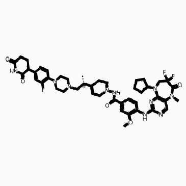 COc1cc(C(=O)NN2CCC([C@@H](C)CN3CCN(c4ccc(C5CCC(=O)NC5=O)cc4F)CC3)CC2)ccc1Nc1ncc2c(n1)N(C1CCCC1)CC(F)(F)C(=O)N2C